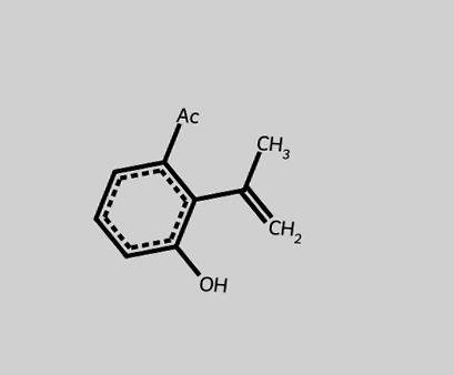 C=C(C)c1c(O)cccc1C(C)=O